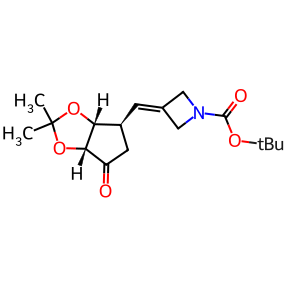 CC(C)(C)OC(=O)N1CC(=C[C@H]2CC(=O)[C@@H]3OC(C)(C)O[C@H]23)C1